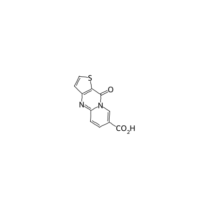 O=C(O)c1ccc2nc3ccsc3c(=O)n2c1